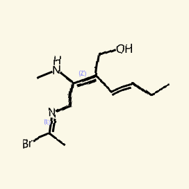 CCC=C/C(CO)=C(\C/N=C(\C)Br)NC